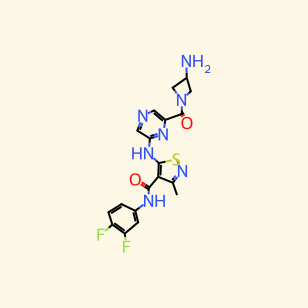 Cc1nsc(Nc2cncc(C(=O)N3CC(N)C3)n2)c1C(=O)Nc1ccc(F)c(F)c1